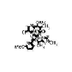 COc1cccc(-c2nnc(NS(=O)(=O)C(C)C(OC)c3ncc(Cl)cn3)n2C(C)c2ncn(C)n2)n1